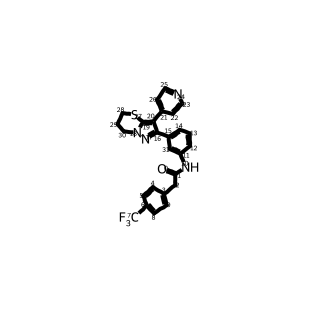 O=C(Cc1ccc(C(F)(F)F)cc1)Nc1cccc(-c2nn3c(c2-c2ccncc2)SCCC3)c1